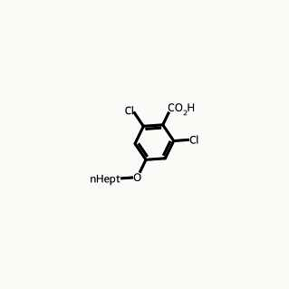 CCCCCCCOc1cc(Cl)c(C(=O)O)c(Cl)c1